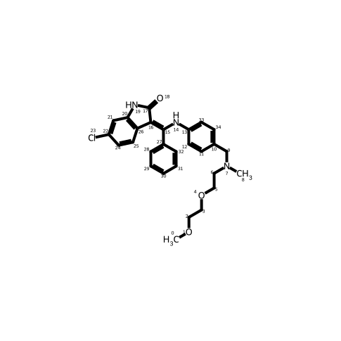 COCCOCCN(C)Cc1ccc(N/C(=C2\C(=O)Nc3cc(Cl)ccc32)c2ccccc2)cc1